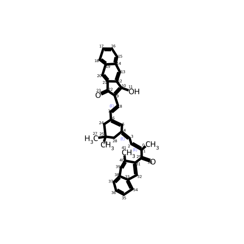 C/C(=C\C=C1C=C(/C=C/C2=C(O)c3cc4ccccc4cc3C2=O)CC(C)(C)C\1)C(=O)c1cc2ccccc2cc1C